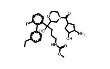 CCc1cccc(-c2c(F)cccc2C(O)(CCCNC(=O)OC)C2CN(C(=O)C3CC(N)C(O)C3)CCO2)c1